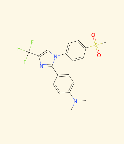 CN(C)c1ccc(-c2nc(C(F)(F)F)cn2-c2ccc(S(C)(=O)=O)cc2)cc1